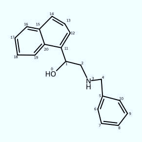 OC(CNCc1ccccc1)c1cccc2ccccc12